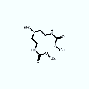 CCCN(CCNC(=O)OC(C)(C)C)CCNC(=O)OC(C)(C)C